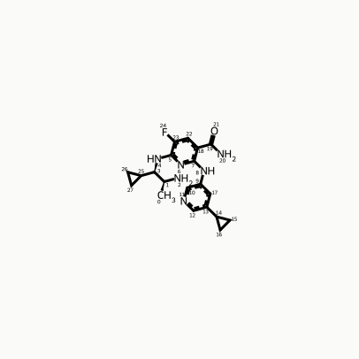 C[C@H](N)[C@H](Nc1nc(Nc2cncc(C3CC3)c2)c(C(N)=O)cc1F)C1CC1